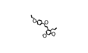 C=CCOc1ccc(C(=O)C=Cc2cc(OC)cc(OC)c2CC=C)cc1